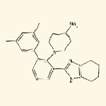 Cc1cc(C)cc(-c2cncc(-c3nc4c([nH]3)CCCC4)c2N2CCC(N)CC2)c1